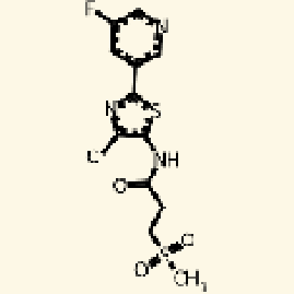 CS(=O)(=O)CCC(=O)Nc1sc(-c2cncc(F)c2)nc1Cl